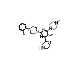 CN1CCN(c2nc(N3CCN(c4ccccc4F)CC3)nc(C3CNCCO3)c2F)CC1